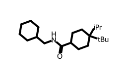 CC(C)C1(C(C)(C)C)CCC(C(=O)NCC2CCCCC2)CC1